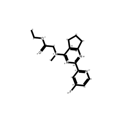 CCOC(=O)CN(C)c1nc(-c2cc(F)ccn2)nc2c1CCC2